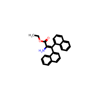 CCOC(=O)C(N)=C(c1cccc2ccccc12)c1cccc2ccccc12